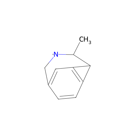 CC1[N]Cc2ccc3c(c2)C31